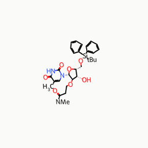 CNC(=O)CCO[C@@H]1[C@@H](O)[C@@H](CO[Si](c2ccccc2)(c2ccccc2)C(C)(C)C)O[C@H]1n1cc(C)c(=O)[nH]c1=O